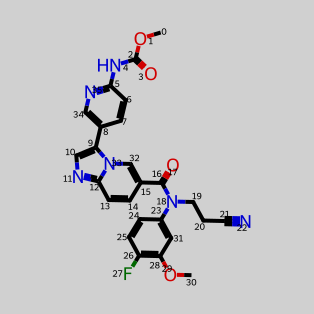 COC(=O)Nc1ccc(-c2cnc3ccc(C(=O)N(CCC#N)c4ccc(F)c(OC)c4)cn23)cn1